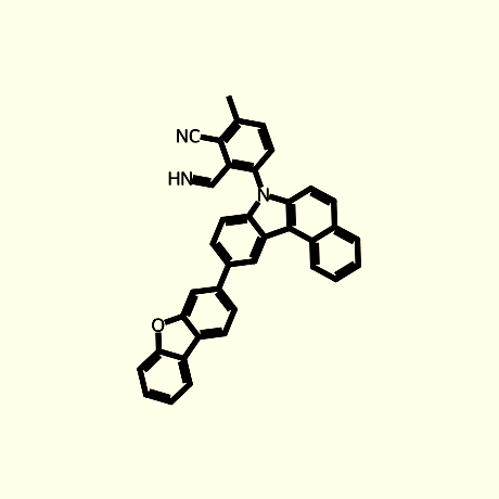 Cc1ccc(-n2c3ccc(-c4ccc5c(c4)oc4ccccc45)cc3c3c4ccccc4ccc32)c(C=N)c1C#N